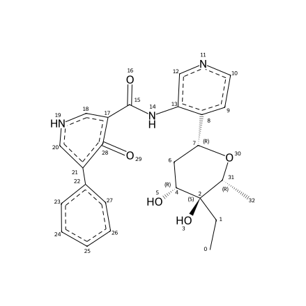 CC[C@]1(O)[C@H](O)C[C@H](c2ccncc2NC(=O)c2c[nH]cc(-c3ccccc3)c2=O)O[C@@H]1C